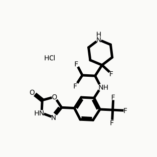 Cl.O=c1[nH]nc(-c2ccc(C(F)(F)F)c(NC(C(F)F)C3(F)CCNCC3)c2)o1